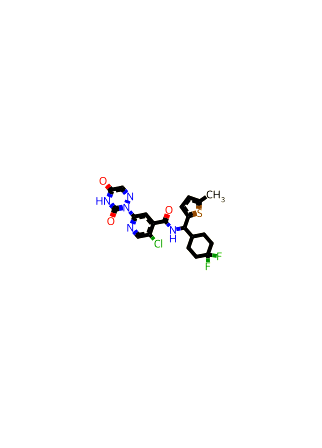 Cc1ccc(C(NC(=O)c2cc(-n3ncc(=O)[nH]c3=O)ncc2Cl)C2CCC(F)(F)CC2)s1